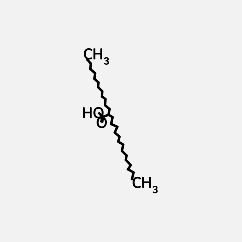 CCCCCCCCCCCCCCCC(CCCCCCCCCCCCC)C(=O)O